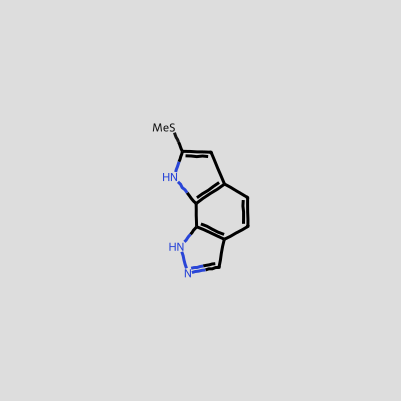 CSc1cc2ccc3cn[nH]c3c2[nH]1